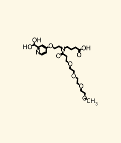 COCCOCCOCCOCCC(=O)N(CCCC(=O)O)CCOc1ccnc(C(O)O)c1